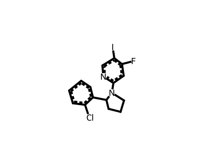 Fc1cc(N2CCCC2c2ccccc2Cl)ncc1I